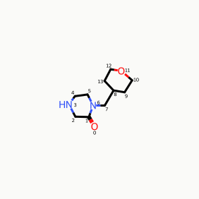 O=C1CNCCN1CC1CCOCC1